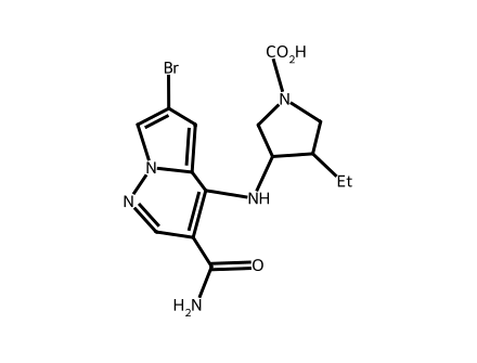 CCC1CN(C(=O)O)CC1Nc1c(C(N)=O)cnn2cc(Br)cc12